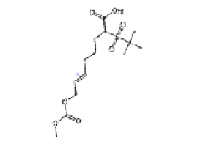 COC(=O)OC/C=C/CCCC(C(=O)O)S(=O)(=O)C(C)(C)C